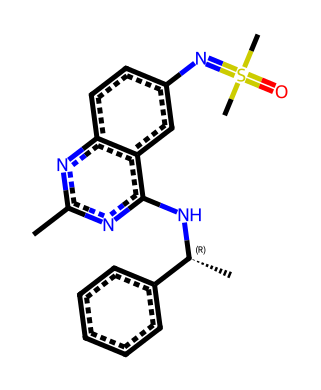 Cc1nc(N[C@H](C)c2ccccc2)c2cc(N=S(C)(C)=O)ccc2n1